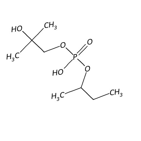 CCC(C)OP(=O)(O)OCC(C)(C)O